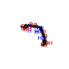 COC(=O)c1ccc(CNC(=O)CCCC(=O)NCCCN(C)CCNC(=O)CCCC(=O)NCc2ccc(C(=O)OC)c(O)c2)cc1O